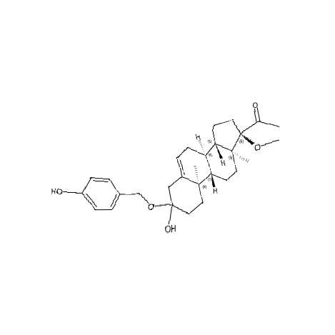 CO[C@]1(C(C)=O)CC[C@H]2[C@@H]3CC=C4CC(O)(OCc5ccc(O)cc5)CC[C@]4(C)[C@H]3CC[C@@]21C